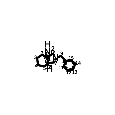 N[C@]12CCCC[C@@H]1CN(Cc1ccccc1)C2